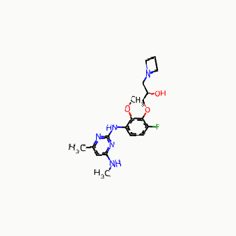 CNc1cc(C)nc(Nc2ccc(F)c(OC[C@H](O)CN3CCC3)c2OC)n1